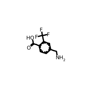 NCc1ccc(C(=O)O)c(C(F)(F)F)c1